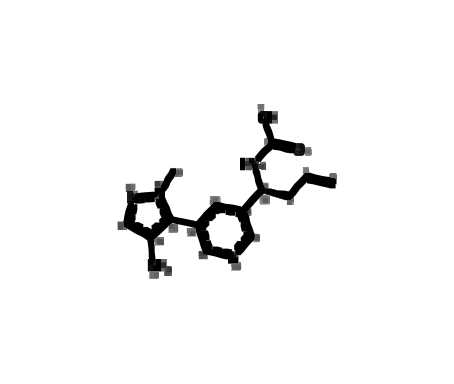 C=CC[C@H](NC(=O)O)c1cncc(-c2c(N)cnn2C)c1